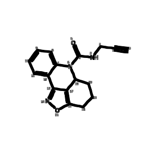 C#CCNC(=O)N1c2ccccc2-c2noc3c2C1CCC3